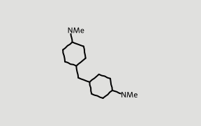 CNC1CCC(CC2CCC(NC)CC2)CC1